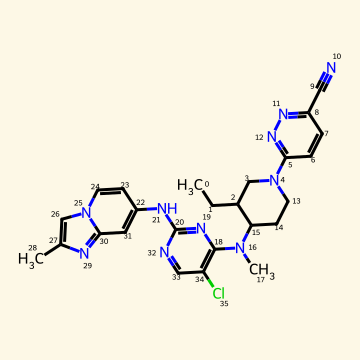 CCC1CN(c2ccc(C#N)nn2)CCC1N(C)c1nc(Nc2ccn3cc(C)nc3c2)ncc1Cl